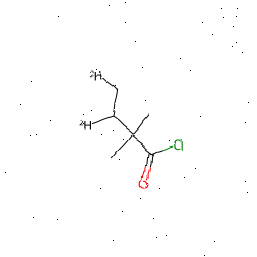 [2H]CC([2H])C(C)(C)C(=O)Cl